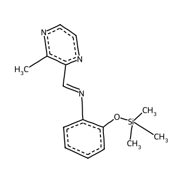 Cc1nccnc1C=Nc1ccccc1O[Si](C)(C)C